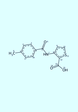 Cc1ccc(C(=O)Nc2ccsc2C(=O)O)cc1